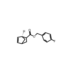 O=C(OCc1ccc(F)cc1)C1CC2C=C[C@@H]1C2